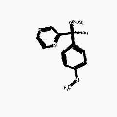 CCCCCC(O)(c1ccc(OC(F)(F)F)cc1)c1cnccn1